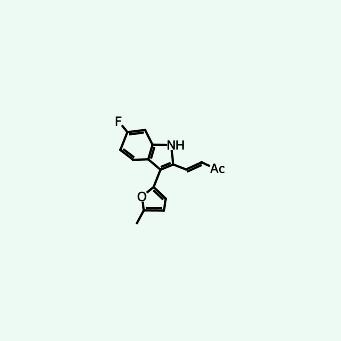 CC(=O)/C=C/c1[nH]c2cc(F)ccc2c1-c1ccc(C)o1